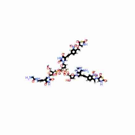 COC[C@H]1O[C@@H](n2cc(C#CCNC(=O)CN)c(=O)[nH]c2=O)C[C@@H]1CP(=O)(O)OC[C@H]1O[C@@H](n2cc(C#Cc3ccc(C(C)OC4CNC(=O)SC4=O)c([N+](=O)[O-])c3)c(=O)[nH]c2=O)C[C@@H]1CP(=O)(O)OC[C@H]1O[C@@H](n2cc(C#Cc3ccc(C(C)NC4CNC(=O)SC4=O)c([N+](=O)[O-])c3)c3c(N)ncnc32)C[C@@H]1O